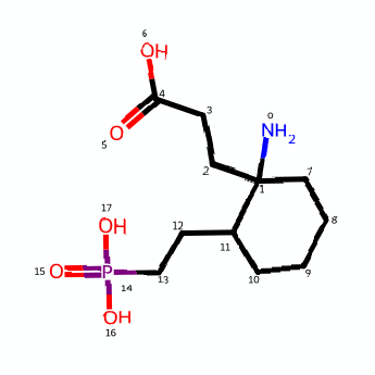 NC1(CCC(=O)O)CCCCC1CCP(=O)(O)O